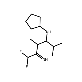 CC(C)C(NC1CCCC1)C(C)C(=N)C(F)F